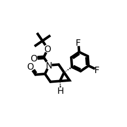 CC(C)(C)OC(=O)N1C[C@@]2(c3cc(F)cc(F)c3)C[C@H]2CC1C=O